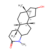 CN1C(=O)CC[C@@]2(C)C1CC[C@@H]1[C@H]2CC[C@]2(C)CC(O)C[C@@H]12